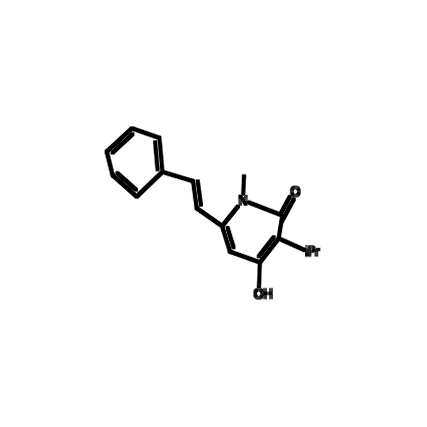 CC(C)c1c(O)cc(/C=C/c2ccccc2)n(C)c1=O